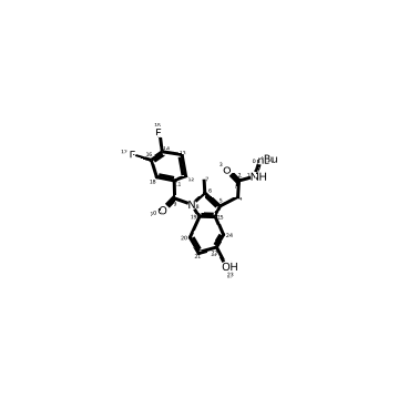 CCCCNC(=O)Cc1c(C)n(C(=O)c2ccc(F)c(F)c2)c2ccc(O)cc12